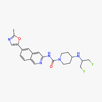 Cc1ncc(-c2ccc3cnc(NC(=O)N4CCC(NC(CF)CF)CC4)cc3c2)o1